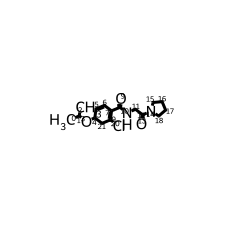 CC(C)OC1C=CC(C(=O)NCC(=O)N2CCCC2)=C(Cl)C1